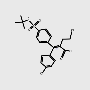 CC(C)(C)NS(=O)(=O)c1ccc(/C(=C(\CCO)C(=O)O)c2ccc(Cl)cc2)cc1